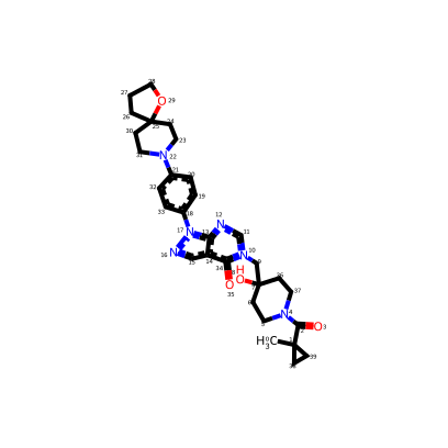 CC1(C(=O)N2CCC(O)(Cn3cnc4c(cnn4-c4ccc(N5CCC6(CCCO6)CC5)cc4)c3=O)CC2)CC1